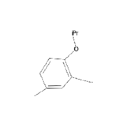 [CH2]c1cc(C)ccc1OC(C)C